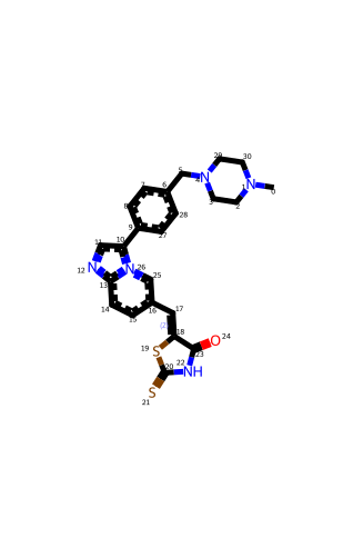 CN1CCN(Cc2ccc(-c3cnc4ccc(/C=C5\SC(=S)NC5=O)cn34)cc2)CC1